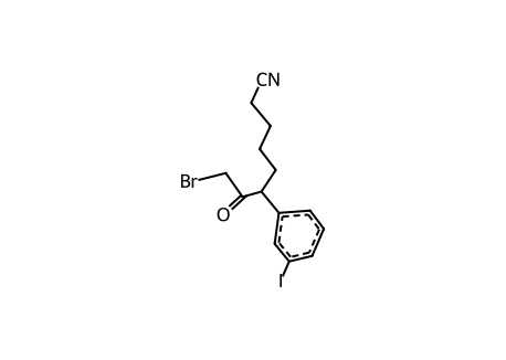 N#CCCCCC(C(=O)CBr)c1cccc(I)c1